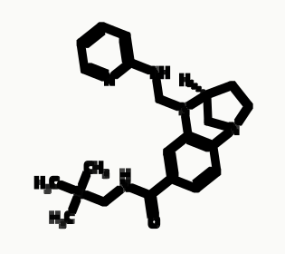 C[Si](C)(C)CNC(=O)c1ccc2c(c1)N(CNc1ccccn1)[C@H]1CCN2C1